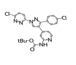 CC(C)(C)OC(=O)Nc1cc(-c2cn(-c3ccc(Cl)nn3)nc2-c2ccc(Cl)cc2)ccn1